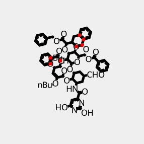 CCCCOC1=CC(OCCCC)C(C)OC1OC1C(NC(=O)c2cc(O)nc(O)n2)CC(C=O)CC1OC1OC(COC(=O)c2ccccc2)C(OC(=O)c2ccccc2)C(OC(C(=O)OCc2ccccc2)C2CCCCC2)C1OC(=O)c1ccccc1